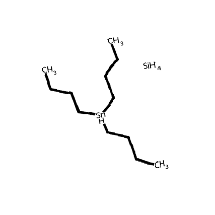 CCC[CH2][SnH]([CH2]CCC)[CH2]CCC.[SiH4]